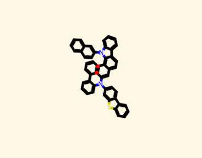 c1ccc(-c2ccccc2N(c2ccc3c(ccc4c5ccccc5n(-c5ccc6ccccc6c5)c34)c2)c2ccc3c(c2)sc2ccccc23)cc1